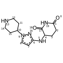 O=C1CCC(Nc2ccn(C3CCNCC3)n2)C(=O)N1